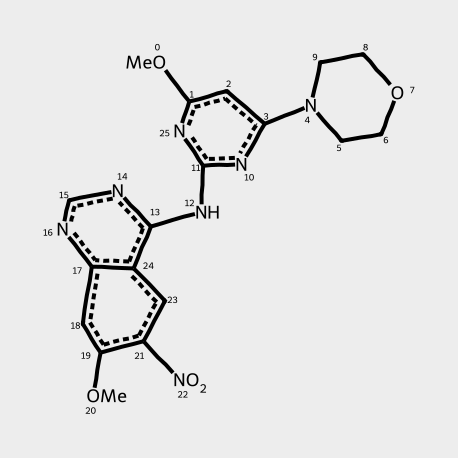 COc1cc(N2CCOCC2)nc(Nc2ncnc3cc(OC)c([N+](=O)[O-])cc23)n1